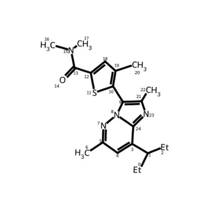 CCC(CC)c1cc(C)nn2c(-c3sc(C(=O)N(C)C)cc3C)c(C)nc12